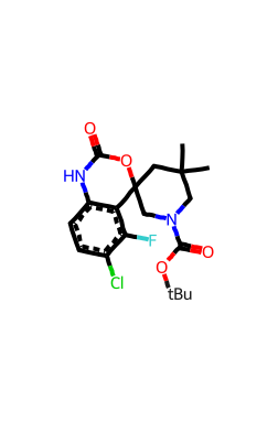 CC1(C)CN(C(=O)OC(C)(C)C)CC2(C1)OC(=O)Nc1ccc(Cl)c(F)c12